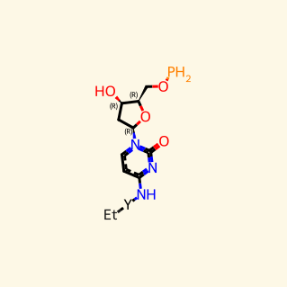 C[CH2][Y][NH]c1ccn([C@H]2C[C@@H](O)[C@@H](COP)O2)c(=O)n1